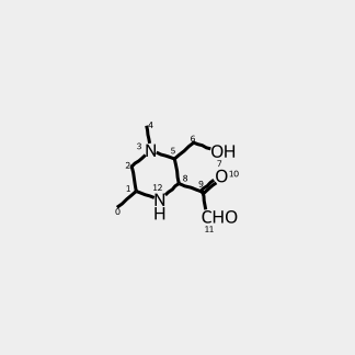 CC1CN(C)C(CO)C(C(=O)C=O)N1